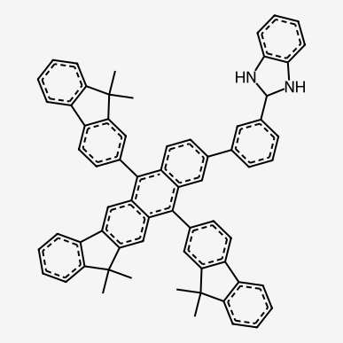 CC1(C)c2ccccc2-c2ccc(-c3c4ccc(-c5cccc(C6Nc7ccccc7N6)c5)cc4c(-c4ccc5c(c4)C(C)(C)c4ccccc4-5)c4cc5c(cc34)-c3ccccc3C5(C)C)cc21